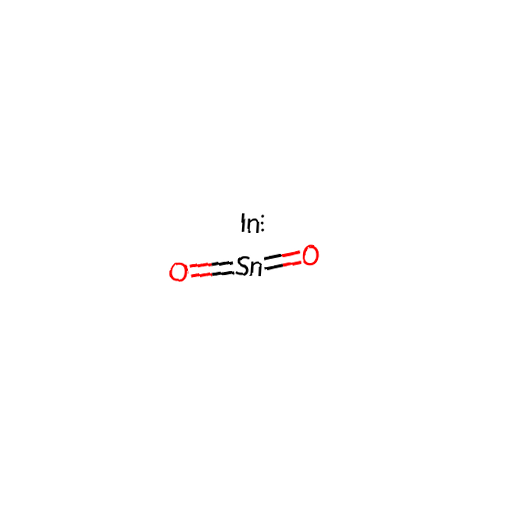 [In].[O]=[Sn]=[O]